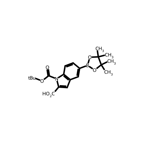 CC(C)(C)OC(=O)n1c(C(=O)O)cc2cc(B3OC(C)(C)C(C)(C)O3)ccc21